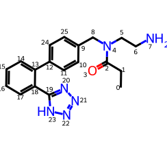 CCC(=O)N(CCN)Cc1ccc(-c2ccccc2-c2nnn[nH]2)cc1